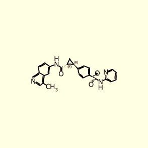 Cc1cncc2ccc(NC(=O)[C@@H]3C[C@H]3c3ccc(S(=O)(=O)Nc4ccccn4)cc3)cc12